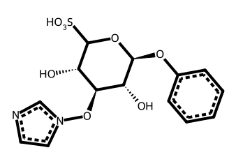 O=S(=O)(O)C1O[C@@H](Oc2ccccc2)[C@H](O)[C@@H](On2ccnc2)[C@@H]1O